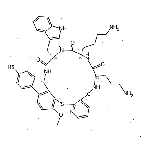 COc1ccc(-c2ccc(S)cc2)c2c1Sc1ncccc1CN[C@@H](CCCN)C(=O)N[C@@H](CCCCN)C(=O)N(C)[C@@H](Cc1c[nH]c3ccccc13)C(=O)NC2